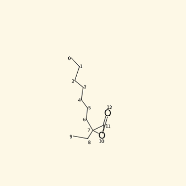 CCCCCCCC1(CC)OC1=O